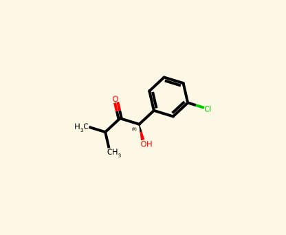 CC(C)C(=O)[C@H](O)c1cccc(Cl)c1